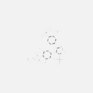 Cc1cc(-c2noc(C(F)(F)F)c2-c2cc(F)c(S(N)(=O)=O)c(F)c2)ccc1C(F)(F)F